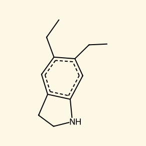 CCc1cc2c(cc1CC)NCC2